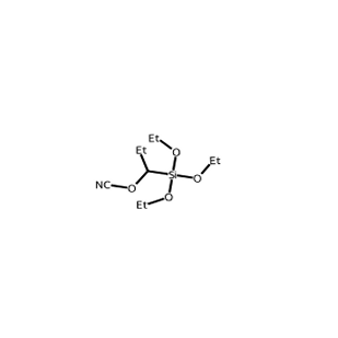 CCO[Si](OCC)(OCC)C(CC)OC#N